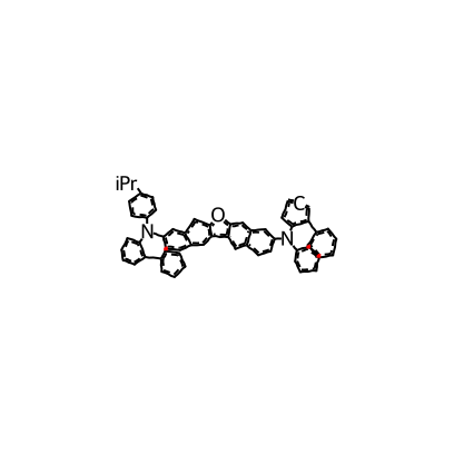 CC(C)c1ccc(N(c2ccc3cc4c(cc3c2)oc2cc3cc(N(c5ccccc5)c5ccccc5-c5ccccc5)ccc3cc24)c2ccccc2-c2ccccc2)cc1